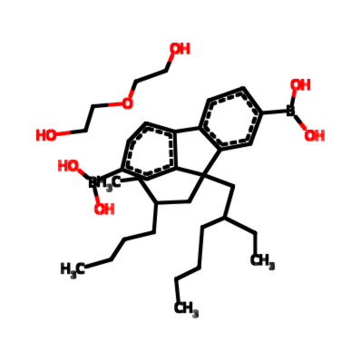 CCCCC(CC)CC1(CC(CC)CCCC)c2cc(B(O)O)ccc2-c2ccc(B(O)O)cc21.OCCOCCO